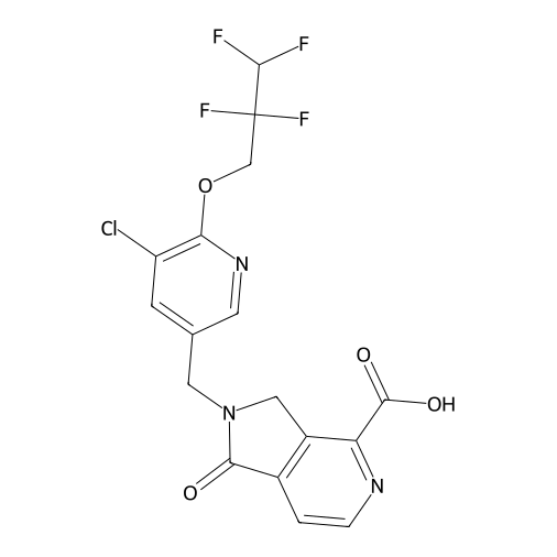 O=C(O)c1nccc2c1CN(Cc1cnc(OCC(F)(F)C(F)F)c(Cl)c1)C2=O